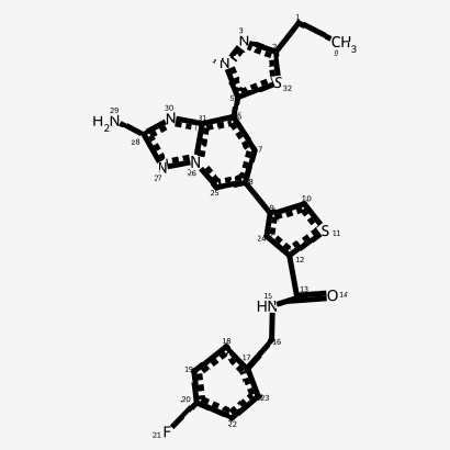 CCc1nnc(-c2cc(-c3csc(C(=O)NCc4ccc(F)cc4)c3)cn3nc(N)nc23)s1